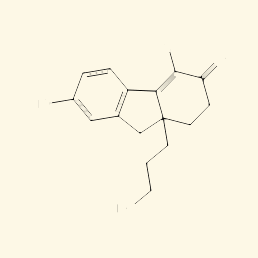 CCCCC12CCC(=O)C(Cl)=C1c1ccc(O)cc1C2